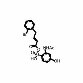 CC(=O)Nc1cc(O)ccc1[As](=O)(O)OC(=O)C=CCc1ccccc1Br